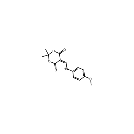 COc1ccc(NC=C2C(=O)OC(C)(C)OC2=O)cc1